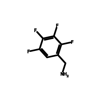 NCc1cc(F)c(F)c(F)c1F